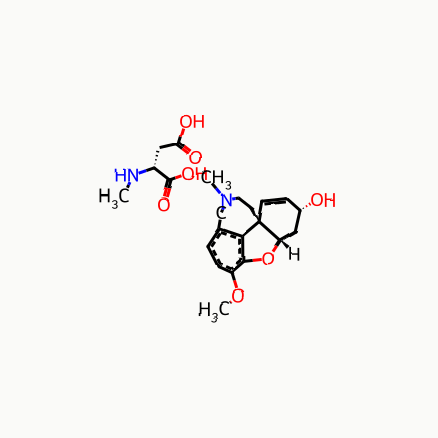 CN[C@H](CC(=O)O)C(=O)O.COc1ccc2c3c1O[C@H]1C[C@@H](O)C=C[C@@]31CCN(C)C2